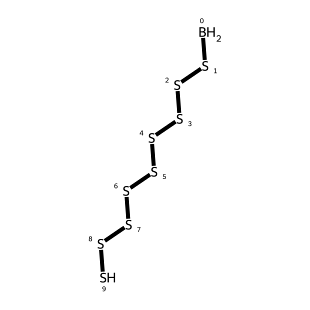 BSSSSSSSSS